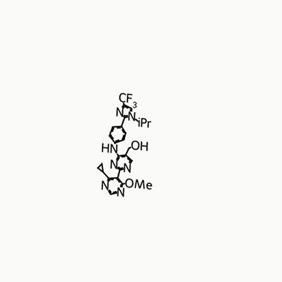 COc1ncnc(C2CC2)c1-c1ncc(CO)c(Nc2ccc(-c3nc(C(F)(F)F)cn3C(C)C)cc2)n1